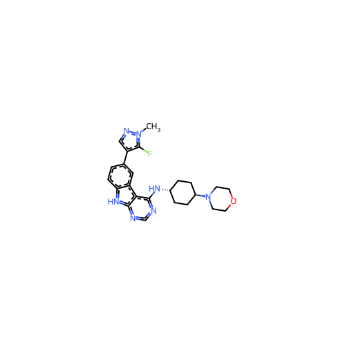 Cn1ncc(-c2ccc3[nH]c4ncnc(N[C@H]5CC[C@H](N6CCOCC6)CC5)c4c3c2)c1F